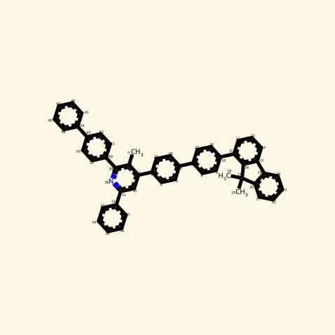 Cc1c(-c2ccc(-c3ccc(-c4cccc5c4C(C)(C)c4ccccc4-5)cc3)cc2)cc(-c2ccccc2)nc1-c1ccc(-c2ccccc2)cc1